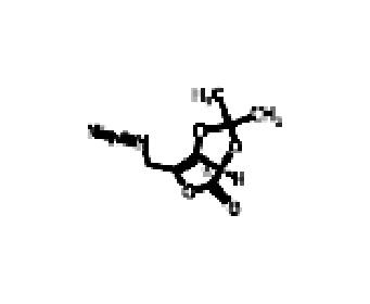 CC1(C)OC2=C(CN=[N+]=[N-])OC(=O)[C@@H]2O1